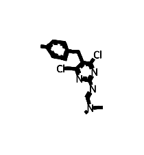 Cc1ccc(Cc2c(Cl)nc(N=CN(C)C)nc2Cl)cc1